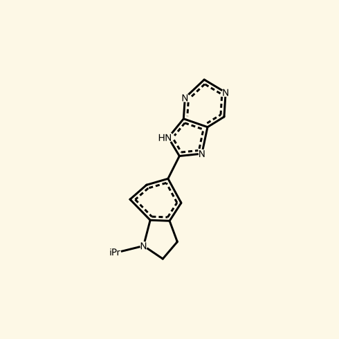 CC(C)N1CCc2cc(-c3nc4cncnc4[nH]3)ccc21